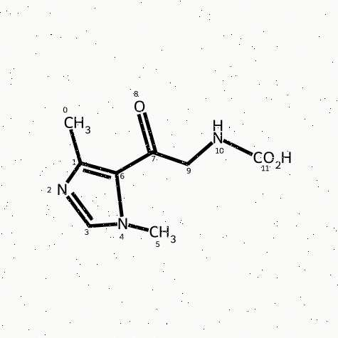 Cc1ncn(C)c1C(=O)CNC(=O)O